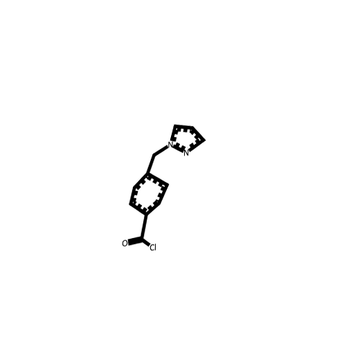 O=C(Cl)c1ccc(Cn2cccn2)cc1